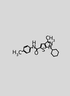 Cc1ccc(NC(=O)c2cc3c(C)nn(C4CCCCC4)c3s2)cc1